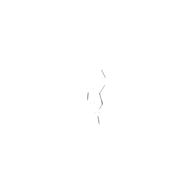 CC(=O)O.CCOCCOCl